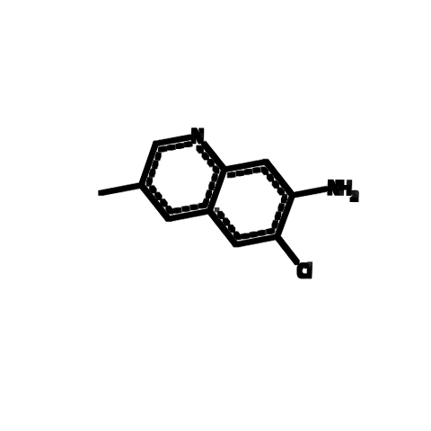 Cc1cnc2cc(N)c(Cl)cc2c1